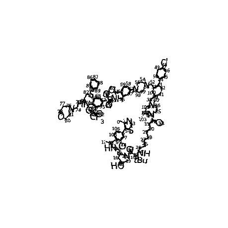 Cc1ncsc1-c1ccc([C@H](C)NC(=O)[C@@H]2C[C@@H](O)CN2C(=O)[C@@H](NCCCCCCCC(=O)N2CCN(C[C@]3(C)CCC(c4ccc(Cl)cc4)=C(CN4CCN(c5ccc(C(=O)NS(=O)(=O)c6ccc(N[C@H](CCN7CCCOCC7)CSc7ccccc7)c(S(=O)(=O)C(F)(F)F)c6)cc5)CC4)C3)C[C@H]2C)C(C)(C)C)cc1